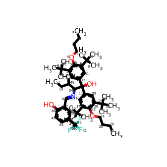 CCCCOc1c(C(C)(C)C)cc(C(O)(c2cc(C(C)(C)C)c(OCCCC)c(C(C)(C)C)c2)C(N=Cc2cc(C(F)(F)F)ccc2O)C(C)CC)cc1C(C)(C)C